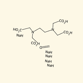 C=O.O=C(O)CN(CCN(CC(=O)O)CC(=O)O)CC(=O)O.[NaH].[NaH].[NaH].[NaH].[NaH]